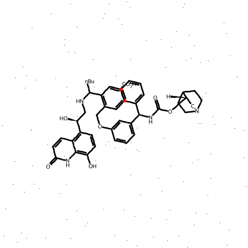 CCCCC(NC[C@H](O)c1ccc(O)c2[nH]c(=O)ccc12)c1cc(C(=O)O)ccc1COc1cccc(C(NC(=O)O[C@H]2CN3CCC2CC3)c2ccccc2)c1